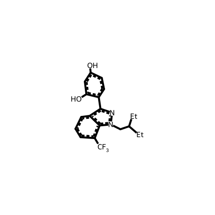 CCC(CC)Cn1nc(-c2ccc(O)cc2O)c2cccc(C(F)(F)F)c21